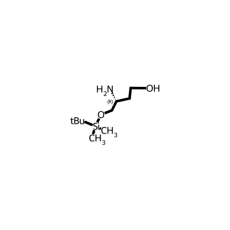 CC(C)(C)[Si](C)(C)OC[C@H](N)CCO